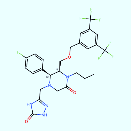 CCCN1C(=O)CN(Cc2n[nH]c(=O)[nH]2)[C@@H](c2ccc(F)cc2)[C@H]1COCc1cc(C(F)(F)F)cc(C(F)(F)F)c1